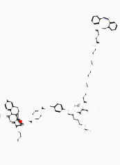 CCCC1O[C@@H]2CC3[C@@H]4CCC5=CC(=O)C=C[C@]5(C)C4[C@@H](O)C[C@]3(C)[C@]2(C(=O)COC(=O)N2CCN(C(=O)OCc3ccc(NC(=O)C(CCCNC(N)=O)NC(=O)[C@@H](NC(=O)CCOCCOCCOCCOCCNC(=O)CCC(=O)N4Cc5ccccc5/C=C\c5ccccc54)C(C)C)cc3)CC2)O1